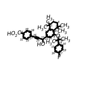 CC1(C)CCC(C)(C)c2c(OC(C)(C)c3ccc(F)cc3)cc(C(O)C#Cc3ccc(C(=O)O)cc3)cc21